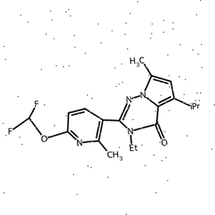 CCn1c(-c2ccc(OC(F)F)nc2C)nn2c(C)cc(C(C)C)c2c1=O